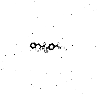 COC(=O)c1ccc(NC(=O)[C@@H](N)Cc2ccccc2)cc1.Cl